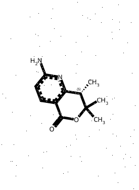 C[C@H]1c2nc(N)ccc2C(=O)OC1(C)C